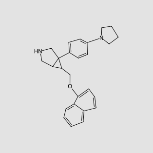 c1ccc2c(OCC3C4CNCC43c3ccc(N4CCCC4)cc3)cccc2c1